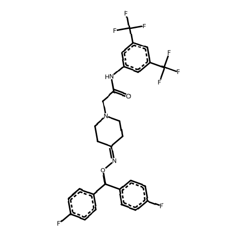 O=C(CN1CCC(=NOC(c2ccc(F)cc2)c2ccc(F)cc2)CC1)Nc1cc(C(F)(F)F)cc(C(F)(F)F)c1